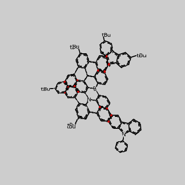 CC(C)(C)c1ccc(-c2cc3c4c(c2)N(c2c(-c5ccccc5)cc(C(C)(C)C)cc2-c2ccccc2)c2cc(-c5ccc6c(c5)c5ccccc5n6-c5ccccc5)ccc2B4c2ccc(-n4c5ccc(C(C)(C)C)cc5c5cc(C(C)(C)C)ccc54)cc2C3c2c(-c3ccccc3)cc(C(C)(C)C)cc2-c2ccccc2)cc1